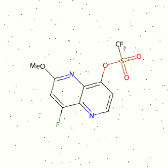 COc1cc(F)c2nccc(OS(=O)(=O)C(F)(F)F)c2n1